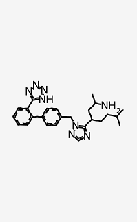 CC(C)CCC(CC(C)N)c1ncnn1Cc1ccc(-c2ccccc2-c2nnn[nH]2)cc1